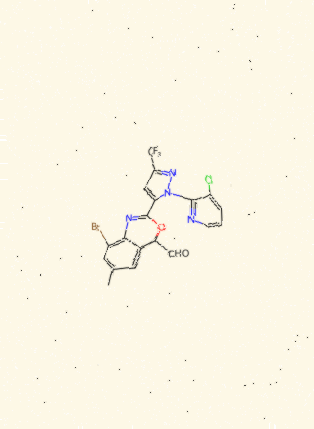 Cc1cc(Br)c2c(c1)C(C=O)OC(c1cc(C(F)(F)F)nn1-c1ncccc1Cl)=N2